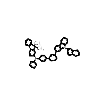 CC1(C)c2ccccc2-c2ccc(N(c3ccccc3)c3ccc(-c4cccc(-c5ccc6c7ccccc7n(-c7ccc8ccccc8c7)c6c5)c4)cc3)cc21